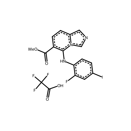 COC(=O)c1ccc2cncn2c1Nc1ccc(I)cc1F.O=C(O)C(F)(F)F